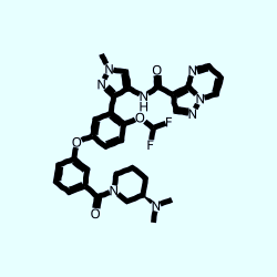 CN(C)[C@@H]1CCCN(C(=O)c2cccc(Oc3ccc(OC(F)F)c(-c4nn(C)cc4NC(=O)c4cnn5cccnc45)c3)c2)C1